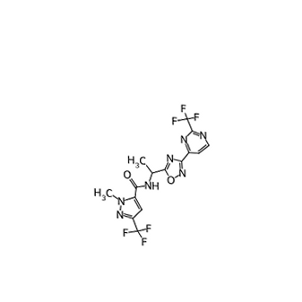 CC(NC(=O)c1cc(C(F)(F)F)nn1C)c1nc(-c2ccnc(C(F)(F)F)n2)no1